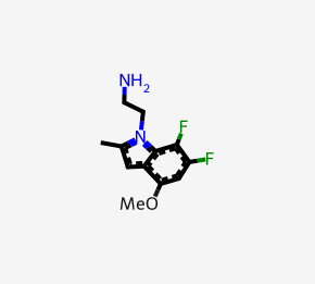 COc1cc(F)c(F)c2c1cc(C)n2CCN